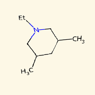 [CH2]CN1CC(C)CC(C)C1